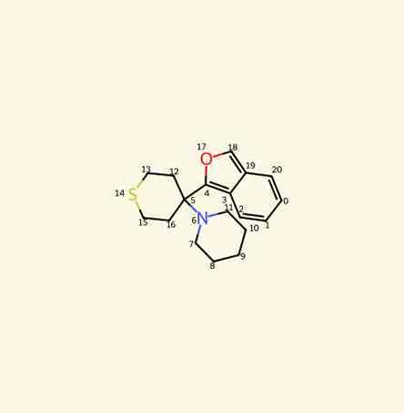 c1ccc2c(C3(N4CCCCC4)CCSCC3)occ2c1